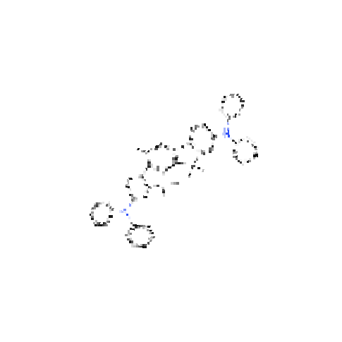 Cc1cc2c(c3c1-c1ccc(N(c4ccccc4)c4ccccc4)cc1C3(C)C)C(C)(C)c1cc(N(c3ccccc3)c3ccccc3)ccc1-2